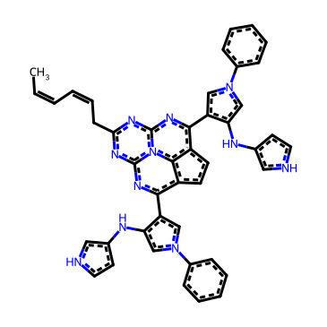 C/C=C\C=C/Cc1nc2nc(-c3cn(-c4ccccc4)cc3Nc3cc[nH]c3)c3ccc4c(-c5cn(-c6ccccc6)cc5Nc5cc[nH]c5)nc(n1)n2c34